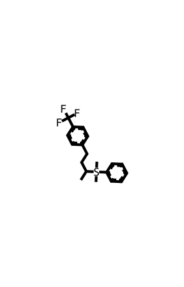 CC(CCc1ccc(C(F)(F)F)cc1)S(C)(C)c1ccccc1